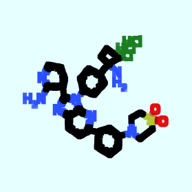 Cl.Cl.Cl.Nc1ncccc1-c1nc2ccc(-c3cccc(N4CCS(=O)(=O)CC4)c3)nc2n1-c1ccc(C2(N)CCC2)cc1